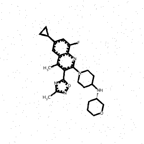 Cc1noc(-c2c(N3CCC(N[C@H]4CCCOC4)CC3)nc3c(F)cc(C4CC4)cc3c2C)n1